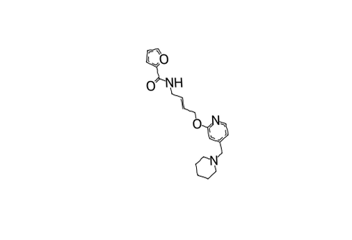 O=C(NCC=CCOc1cc(CN2CCCCC2)ccn1)c1ccco1